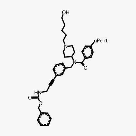 CCCCCc1ccc(C(=O)N(Cc2cccc(C#CCNC(=O)OCc3ccccc3)c2)C2CCN(CCCCCO)CC2)cc1